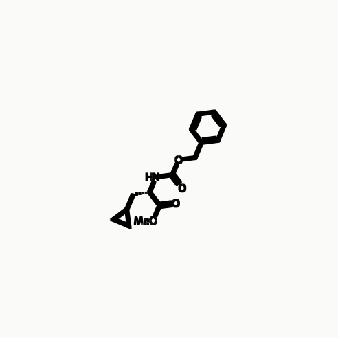 COC(=O)[C@H](CC1CC1)NC(=O)OCc1ccccc1